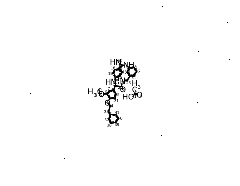 CC(=O)O.COc1cc(C(Nc2ccc(C(=N)N)cc2)C(=O)NCc2ccccc2)ccc1OCCc1ccccc1